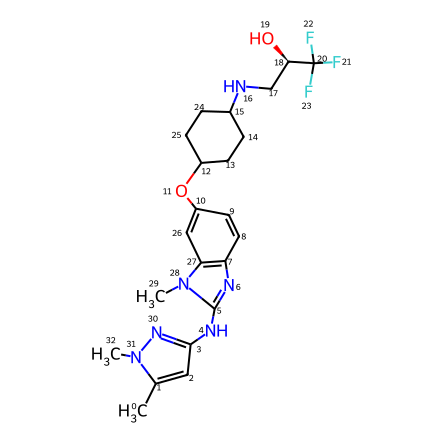 Cc1cc(Nc2nc3ccc(OC4CCC(NC[C@@H](O)C(F)(F)F)CC4)cc3n2C)nn1C